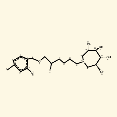 Cc1ccc(COCC(F)CCCCN2C[C@H](O)[C@@H](O)[C@H](O)[C@@H](O)C2)c(Cl)c1